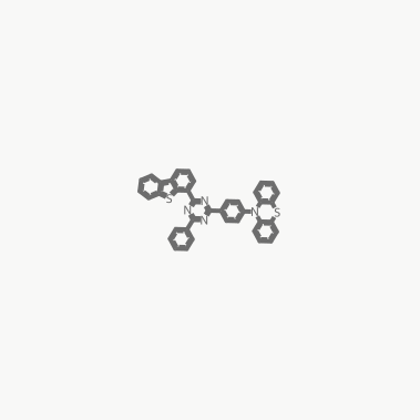 c1ccc(-c2nc(-c3ccc(N4c5ccccc5Sc5ccccc54)cc3)nc(-c3cccc4c3sc3ccccc34)n2)cc1